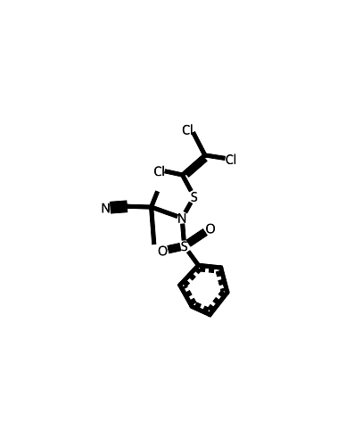 CC(C)(C#N)N(SC(Cl)=C(Cl)Cl)S(=O)(=O)c1ccccc1